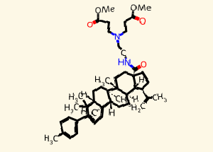 C=C(C)[C@@H]1CC[C@]2(C(=O)NCCN(CCC(=O)OC)CCC(=O)OC)CC[C@]3(C)[C@H](CC[C@@H]4[C@@]5(C)CC=C(c6ccc(C)cc6)C(C)(C)[C@@H]5CC[C@]43C)[C@@H]12